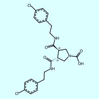 O=C(NCCc1ccc(Cl)cc1)[C@H]1CN(C(=O)O)C[C@@H]1C(=O)NCCc1ccc(Cl)cc1